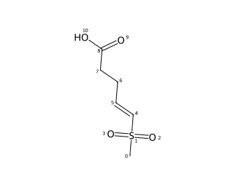 CS(=O)(=O)C=CCCC(=O)O